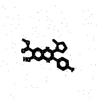 COC(=O)c1cc2nc(N3CCCC3C)c(-c3ccc(F)cc3)nc2cc1O